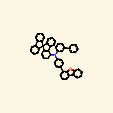 C1=CC2=C(c3ccccc3C23c2ccccc2-c2ccccc23)C(N(c2ccc(-c3cccc4c3oc3ccccc34)cc2)c2cccc(-c3ccccc3)c2)C1